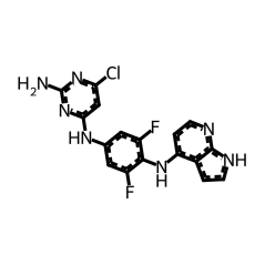 Nc1nc(Cl)cc(Nc2cc(F)c(Nc3ccnc4[nH]ccc34)c(F)c2)n1